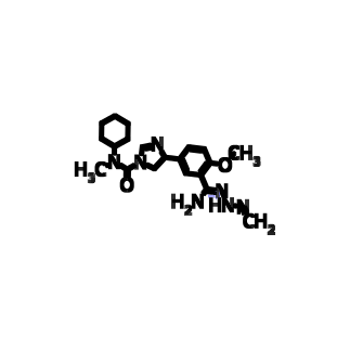 C=NN/N=C(\N)c1cc(C2CN(C(=O)N(C)C3CCCCC3)C=N2)ccc1OC